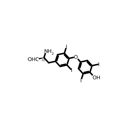 N[C@H]([C]=O)Cc1cc(I)c(Oc2cc(I)c(O)c(I)c2)c(I)c1